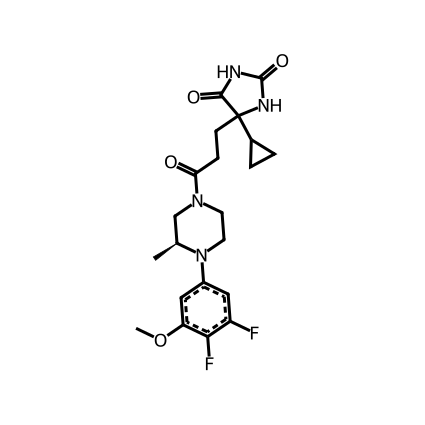 COc1cc(N2CCN(C(=O)CCC3(C4CC4)NC(=O)NC3=O)C[C@@H]2C)cc(F)c1F